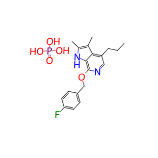 CCCc1cnc(OCc2ccc(F)cc2)c2[nH]c(C)c(C)c12.O=P(O)(O)O